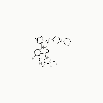 CCN(C(=O)c1cc(F)ccc1N1CCN(CC2CCN(C3CCCCC3)CC2)c2ncncc21)C(C)C